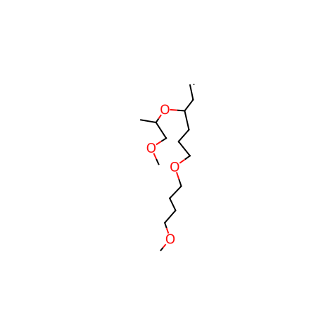 [CH2]CC(CCCOCCCCOC)OC(C)COC